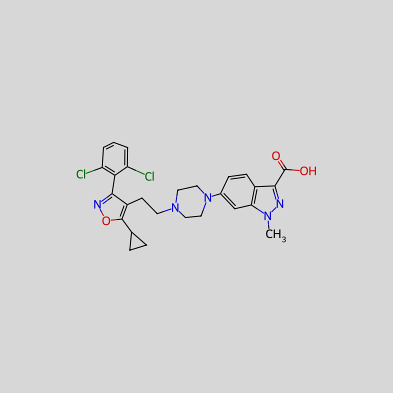 Cn1nc(C(=O)O)c2ccc(N3CCN(CCc4c(-c5c(Cl)cccc5Cl)noc4C4CC4)CC3)cc21